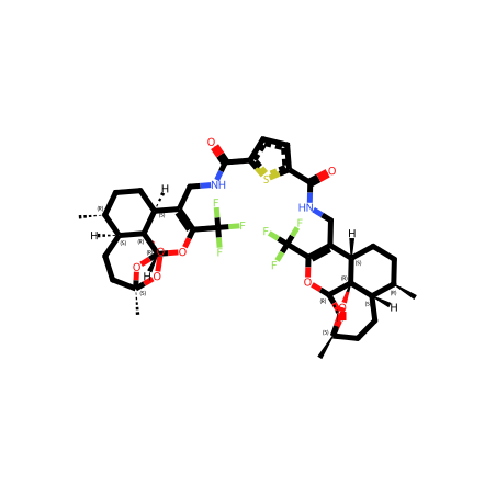 C[C@@H]1CC[C@H]2C(CNC(=O)c3ccc(C(=O)NCC4=C(C(F)(F)F)O[C@@H]5O[C@]6(C)CC[C@H]7[C@H](C)CC[C@@H]4[C@@]57OO6)s3)=C(C(F)(F)F)O[C@@H]3O[C@]4(C)CC[C@@H]1[C@]32OO4